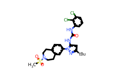 CC(C)(C)c1cc(NC(=O)Nc2cccc(Cl)c2Cl)n(-c2ccc3c(c2)CCN(S(C)(=O)=O)CC3)n1